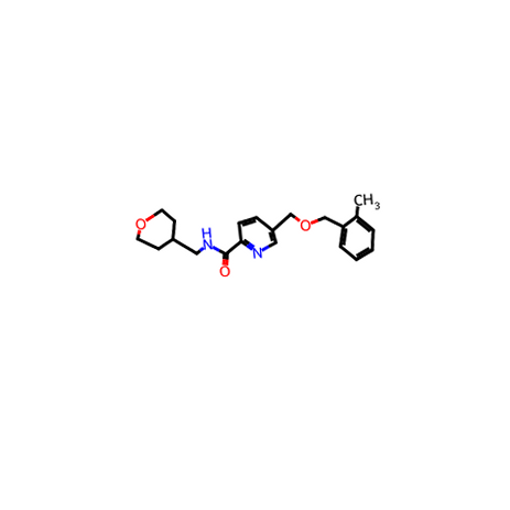 Cc1ccccc1COCc1ccc(C(=O)NCC2CCOCC2)nc1